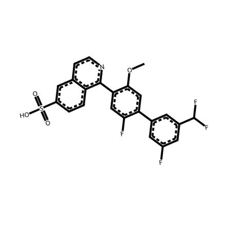 COc1cc(-c2cc(F)cc(C(F)F)c2)c(F)cc1-c1nccc2cc(S(=O)(=O)O)ccc12